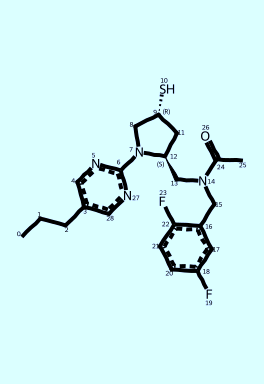 CCCc1cnc(N2C[C@H](S)C[C@H]2CN(Cc2cc(F)ccc2F)C(C)=O)nc1